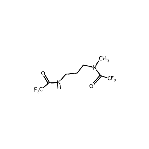 CN(CCCNC(=O)C(F)(F)F)C(=O)C(F)(F)F